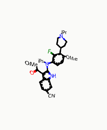 COC(=O)c1c(N(c2ccc(OC)c(C3CCN(C(C)C)CC3)c2F)C(C)C)[nH]c2cc(C#N)ccc12